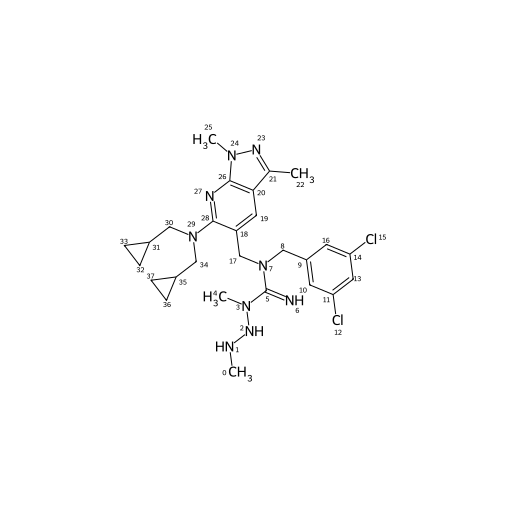 CNNN(C)C(=N)N(Cc1cc(Cl)cc(Cl)c1)Cc1cc2c(C)nn(C)c2nc1N(CC1CC1)CC1CC1